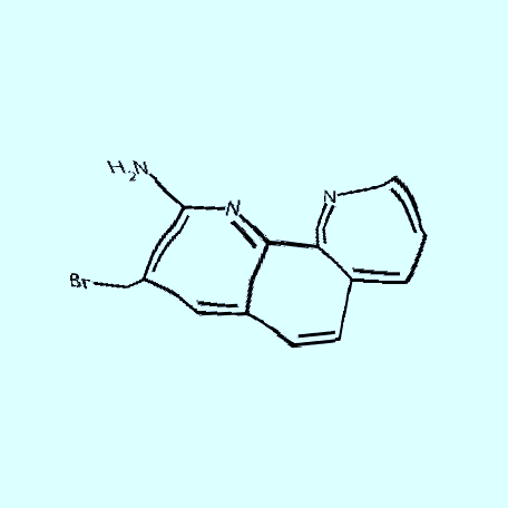 Nc1nc2c(ccc3cccnc32)cc1Br